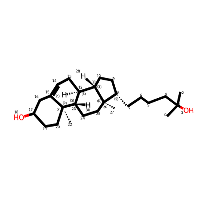 CC(C)(O)CCCC[C@H]1CC[C@H]2[C@@H]3CC=C4CC(O)CC[C@]4(C)[C@H]3CC[C@]12C